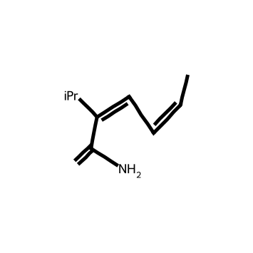 C=C(N)/C(=C\C=C/C)C(C)C